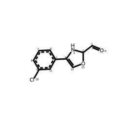 O=CC1NC(c2cccc(Cl)c2)=CO1